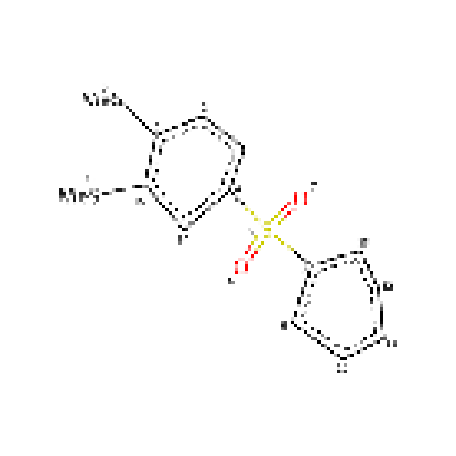 CSc1ccc(S(=O)(=O)c2ccccc2)cc1SC